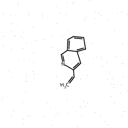 C=Cc1cc2ccccc2cn1